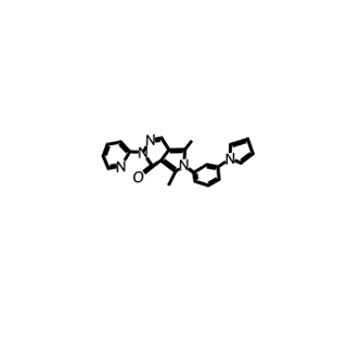 Cc1c2cnn(-c3ccccn3)c(=O)c2c(C)n1-c1cccc(-n2cccc2)c1